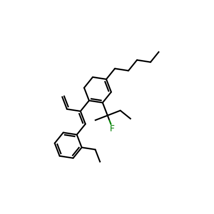 C=C/C(=C\c1ccccc1CC)C1=C(C(C)(F)CC)C=C(CCCCC)CC1